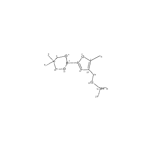 Cc1oc(B2OCC(C)(C)CO2)cc1CO[SiH](C)C